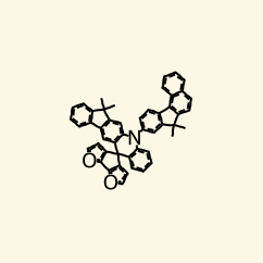 CC1(C)c2ccccc2-c2cc3c(cc21)N(c1ccc2c(c1)C(C)(C)c1ccc4ccccc4c1-2)c1ccccc1C31c2ccoc2-c2occc21